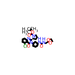 CC(C)(C)OC(=O)N1CCC[C@H]1c1nc2cccc(Cl)c2c(=O)n1-c1cccc(NC(=O)NCC2OCCO2)c1